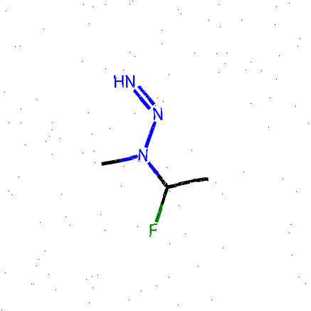 CC(F)N(C)N=N